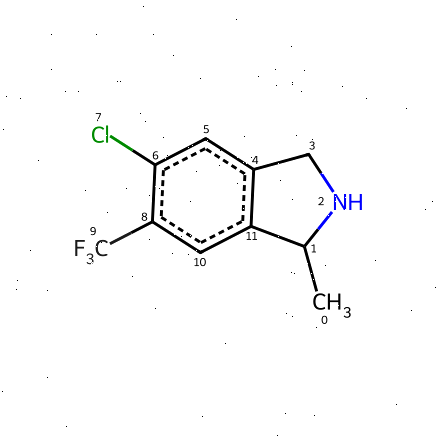 CC1NCc2cc(Cl)c(C(F)(F)F)cc21